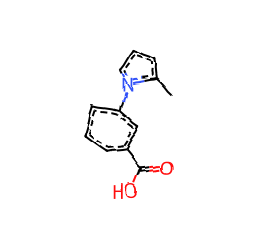 Cc1cccn1-c1cccc(C(=O)O)c1